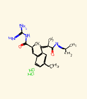 CC(=Cc1cc(C)ccc1C=C(C)C(=O)NC(=N)N)C(=O)N=C(C)C.Cl.Cl